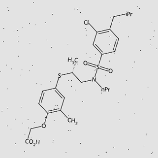 CCCN(C[C@@H](C)Sc1ccc(OCC(=O)O)c(C)c1)S(=O)(=O)c1ccc(CC(C)C)c(Cl)c1